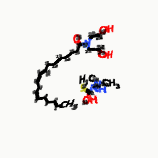 CCCCC/C=C\C/C=C\CCCCCCCC(=O)N(CCO)CCO.CN(C)NC(O)=S